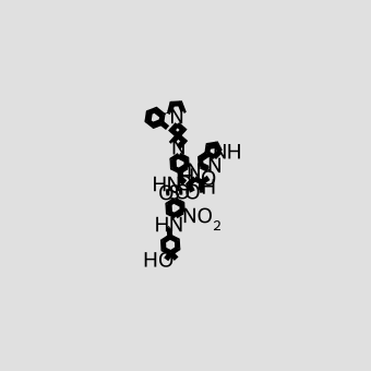 Cc1ccccc1[C@@H]1CCCN1C1CC2(C1)CN(c1ccc(C(=O)NS(=O)(=O)c3ccc(NCC4CCC(C)(O)CC4)c([N+](=O)[O-])c3)c(N3c4cc5cc[nH]c5nc4O[C@H]4COC[C@@H]43)c1)C2